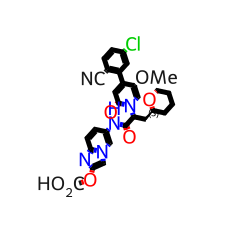 COc1cn(C(C[C@@H]2CCCCO2)C(=O)Nc2ccc3nc(OC(=O)O)cn3c2)c(=O)cc1-c1cc(Cl)ccc1C#N